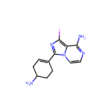 Nc1nccn2c(C3=CCC(N)CC3)nc(I)c12